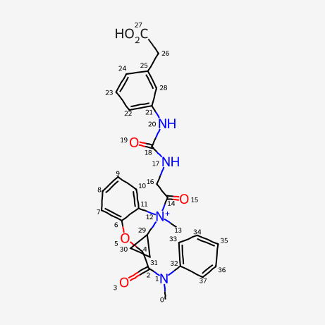 CN(C(=O)COc1ccccc1[N+](C)(C(=O)CNC(=O)Nc1cccc(CC(=O)O)c1)C1CC1)c1ccccc1